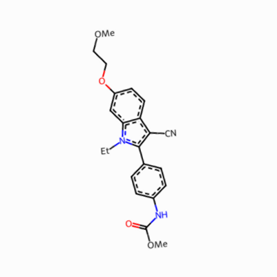 CCn1c(-c2ccc(NC(=O)OC)cc2)c(C#N)c2ccc(OCCOC)cc21